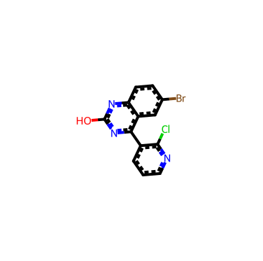 Oc1nc(-c2cccnc2Cl)c2cc(Br)ccc2n1